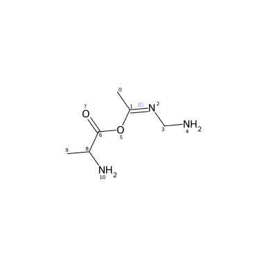 C/C(=N/CN)OC(=O)C(C)N